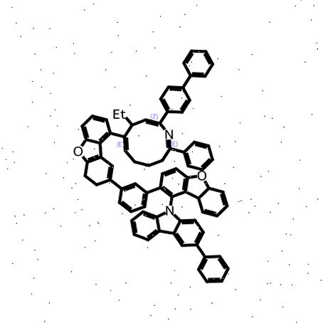 CCC1/C=C(c2ccc(-c3ccccc3)cc2)\N=C(\c2ccccc2)CCC/C=C\1c1cccc2oc3c(c12)C=C(c1cccc(-c2ccc4c(c2-n2c5ccccc5c5cc(-c6ccccc6)ccc52)C2C=CC=CC2O4)c1)CC3